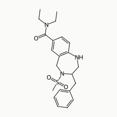 CCN(CC)C(=O)c1ccc2c(c1)CN(S(C)(=O)=O)C(Cc1ccccc1)CN2